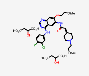 COCCOc1cc2ncnc(Nc3ccc(F)c(Cl)c3)c2cc1NC(=O)C=C1CCN(CCOC)CC1.O=C(O)CC(O)C(=O)O.O=C(O)CC(O)C(=O)O